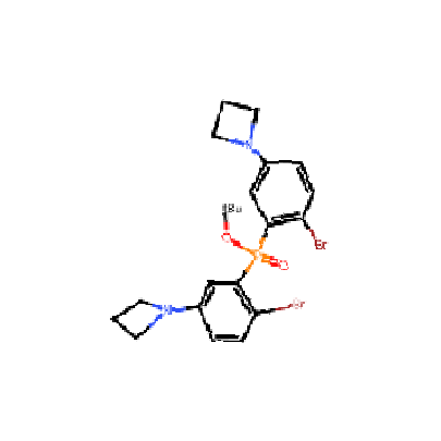 CC(C)(C)OP(=O)(c1cc(N2CCC2)ccc1Br)c1cc(N2CCC2)ccc1Br